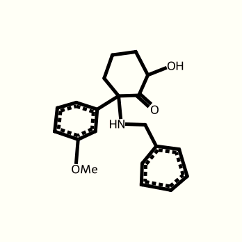 COc1cccc(C2(NCc3ccccc3)CCCC(O)C2=O)c1